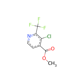 COC(=O)c1ccnc(C(F)(F)F)c1Cl